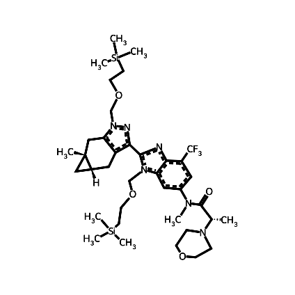 C[C@@H](C(=O)N(C)c1cc(C(F)(F)F)c2nc(-c3nn(COCC[Si](C)(C)C)c4c3C[C@@H]3C[C@]3(C)C4)n(COCC[Si](C)(C)C)c2c1)N1CCOCC1